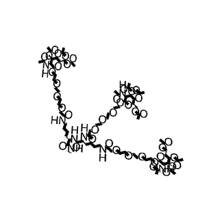 CNC(=O)[C@H](CCCCNC(=O)COCCOCCOCCOC1O[C@H](COC(C)=O)[C@H](OC(C)=O)[C@H](OC(C)=O)[C@H]1NC(C)=O)NC(=O)[C@H](CCCCNC(=O)COCCOCCOCCO[C@@H]1O[C@H](COC(C)=O)[C@H](OC(C)=O)[C@H](OC(C)=O)[C@H]1NC(C)=O)NC(=O)COCCOCCOCCO[C@@H]1O[C@H](COC(C)=O)[C@H](OC(C)=O)[C@H](OC(C)=O)[C@H]1NC(C)=O